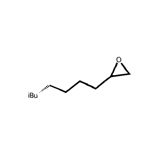 CC[C@@H](C)CCCCC1CO1